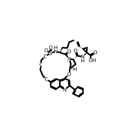 C=C[C@@H]1C[C@]1(NC(=O)[C@@H]1C[C@@H]2CN1C(=O)[C@H](CCCC)NS(=O)(=O)CCCCCCc1ccc3nc(-c4ccccc4)cc(c3c1)O2)C(=O)O